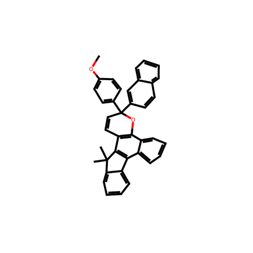 COc1ccc(C2(c3ccc4ccccc4c3)C=Cc3c4c(c5ccccc5c3O2)-c2ccccc2C4(C)C)cc1